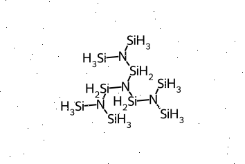 [SiH3]N([SiH3])[SiH2]N([SiH2]N([SiH3])[SiH3])[SiH2]N([SiH3])[SiH3]